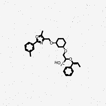 CC=C(OC(CO[C@@H]1CCC[C@H](OCc2nc(-c3cccc(C)c3)oc2C)C1)C(=O)O)c1ccccc1